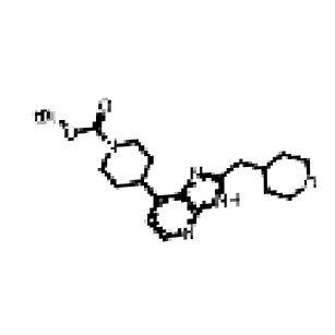 CC(C)(C)OC(=O)N1CCC(c2ccnc3[nH]c(CC4CCOCC4)nc23)CC1